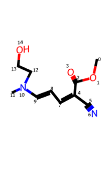 COC(=O)/C(C#N)=C\C=C\N(C)CCO